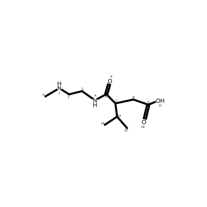 CNCCNC(=O)C(CC(=O)O)C(C)C